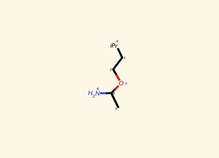 CC(C)CCOC(C)N